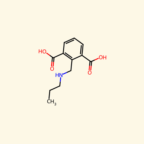 CCCNCc1c(C(=O)O)cccc1C(=O)O